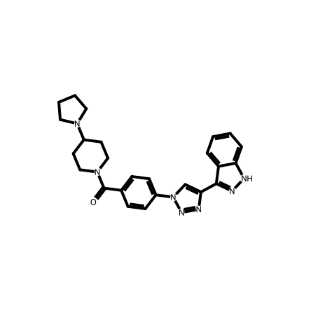 O=C(c1ccc(-n2cc(-c3n[nH]c4ccccc34)nn2)cc1)N1CCC(N2CCCC2)CC1